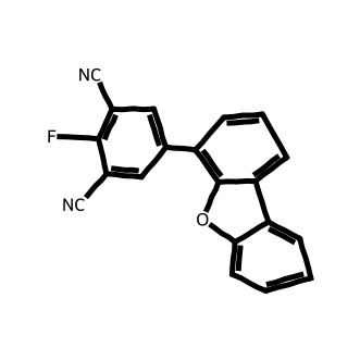 N#Cc1cc(-c2cccc3c2oc2ccccc23)cc(C#N)c1F